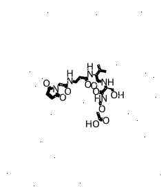 CC(C)[C@@H](NC(=O)CCNC(=O)CN1C(=O)C=CC1=O)C(=O)N[C@@H](CO)C(=O)NCOCC(=O)O